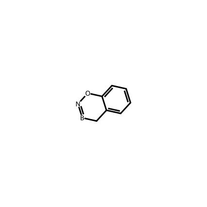 B1=NOc2ccccc2C1